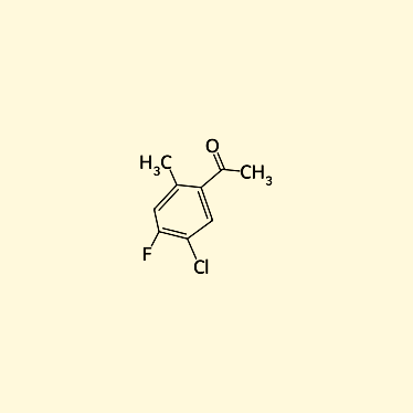 CC(=O)c1cc(Cl)c(F)cc1C